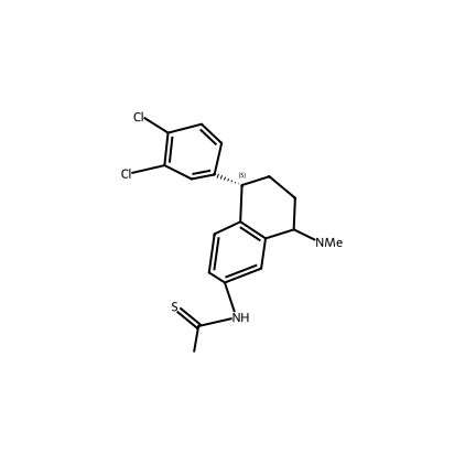 CNC1CC[C@@H](c2ccc(Cl)c(Cl)c2)c2ccc(NC(C)=S)cc21